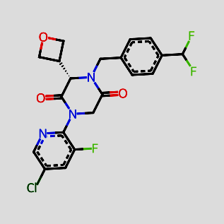 O=C1[C@H](C2COC2)N(Cc2ccc(C(F)F)cc2)C(=O)CN1c1ncc(Cl)cc1F